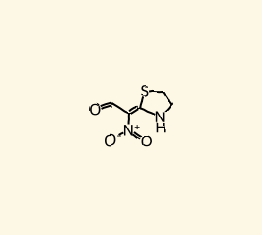 O=CC(=C1NCCS1)[N+](=O)[O-]